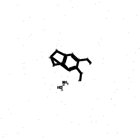 CCc1cc2c3c(c1CC)C(C2)C3.Cl.N